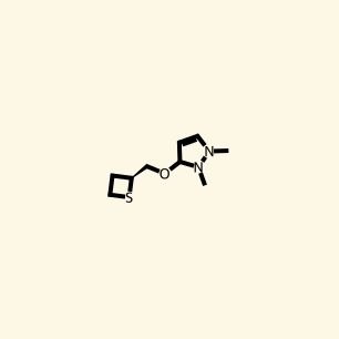 CN1C=CC(OC[C@@H]2CCS2)N1C